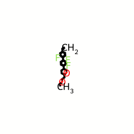 C=Cc1ccc(-c2ccc(C3CCC(CCOCC)OC3)c(F)c2F)c(F)c1